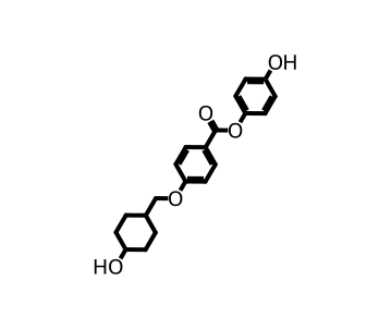 O=C(Oc1ccc(O)cc1)c1ccc(OCC2CCC(O)CC2)cc1